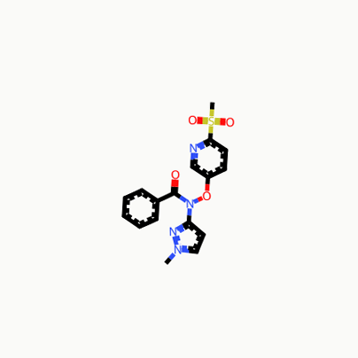 Cn1ccc(N(Oc2ccc(S(C)(=O)=O)nc2)C(=O)c2ccccc2)n1